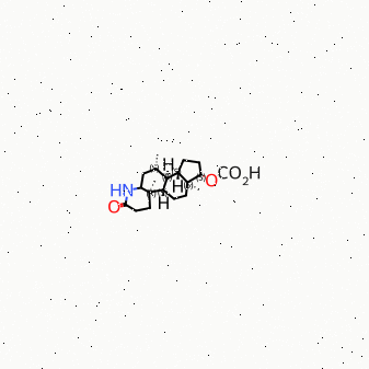 C[C@H]1CC2NC(=O)CC[C@]2(C)[C@H]2CC[C@]3(C)[C@@H](OC(=O)O)CC[C@H]3[C@H]12